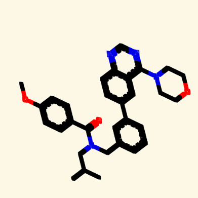 COc1ccc(C(=O)N(Cc2cccc(-c3ccc4ncnc(N5CCOCC5)c4c3)c2)CC(C)C)cc1